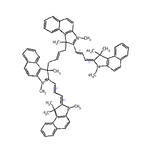 CN1/C(=C/C=C/C2=[N+](C)c3ccc4ccccc4c3C2(C)CC=CCC2(C)C(/C=C/C=C3/N(C)c4ccc5ccccc5c4C3(C)C)=[N+](C)c3ccc4ccccc4c32)C(C)(C)c2c1ccc1ccccc21